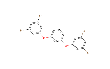 Brc1cc(Br)cc(Oc2cccc(Oc3cc(Br)cc(Br)c3)c2)c1